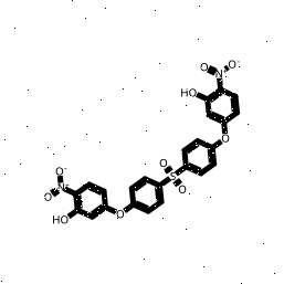 O=[N+]([O-])c1ccc(Oc2ccc(S(=O)(=O)c3ccc(Oc4ccc([N+](=O)[O-])c(O)c4)cc3)cc2)cc1O